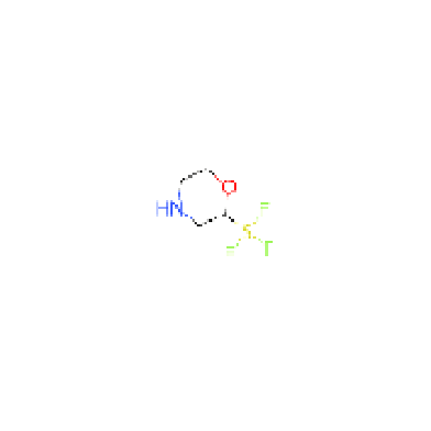 FS(F)(F)C1CNCCO1